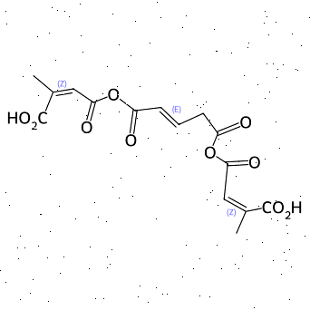 C/C(=C/C(=O)OC(=O)/C=C/CC(=O)OC(=O)/C=C(/C)C(=O)O)C(=O)O